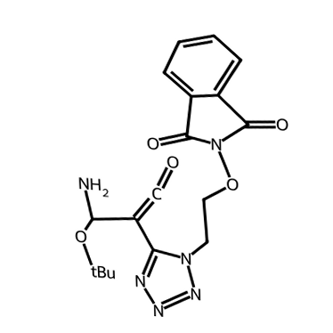 CC(C)(C)OC(N)C(=C=O)c1nnnn1CCON1C(=O)c2ccccc2C1=O